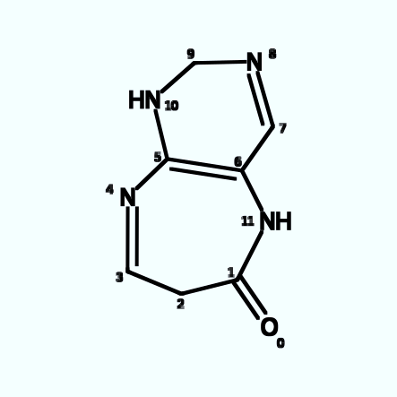 O=C1CC=NC2=C(C=NCN2)N1